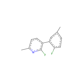 Cc1ccc(F)c(-c2ccc(C)nc2F)c1